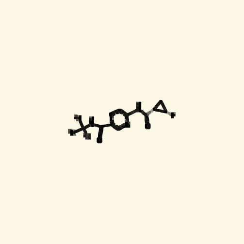 [2H]C([2H])([2H])NC(=O)c1ccc(NC(=O)[C@@H]2C[C@@H]2F)nc1